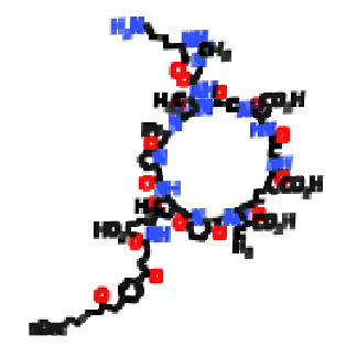 CCCCCCCCCCCCCCC(=O)Cc1ccc(C(=O)CCC(=O)NC(CC(=O)O)C(=O)CC2C(=O)N3CCCCC3C(=O)NC(C(C)C(=O)O)C(=O)CC(CC(=O)O)C(=O)NCC(=O)NC(CC(=O)O)C(=O)NCC(=O)NC(C(C)NC(=O)CN(C)C(=O)C(N)CCCCN)C(=O)NC(C(C)C)C(=O)N3CCCC3C(=O)NC2C)cc1